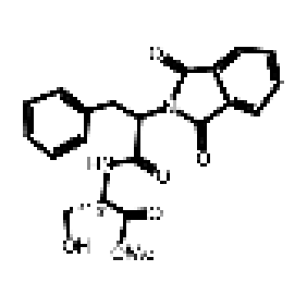 COC(=O)[C@H](CO)NC(=O)C(Cc1ccccc1)N1C(=O)c2ccccc2C1=O